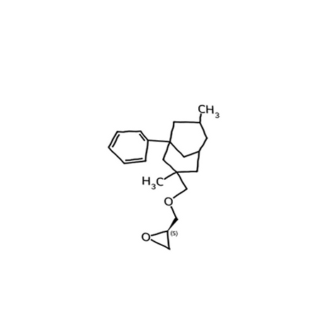 CC1CC2CC(C)(COC[C@H]3CO3)CC(c3ccccc3)(C1)C2